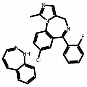 C1=Cc2ccccc2NN=C1.Cc1ncc2n1-c1ccc(Cl)cc1C(c1ccccc1F)=NC2